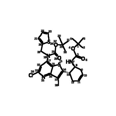 CC(C)(C)OC(=O)N[C@H]1CC=CC[C@@H]1c1sc2c(N(Cc3cccs3)C(=O)OC(C)(C)C)cc(Cl)nc2c1I